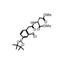 CCOc1cc(B2OC(C)(C)C(C)(C)O2)ccc1CC(=O)N[C@@H](CC(=O)OC)C(=O)OC